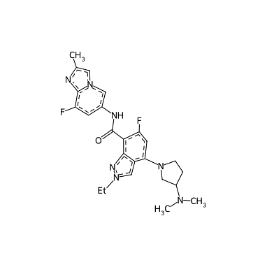 CCn1cc2c(N3CCC(N(C)C)C3)cc(F)c(C(=O)Nc3cc(F)c4nc(C)cn4c3)c2n1